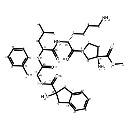 COC(=O)[C@@]1(N)CCN(C(=O)[C@@H](CCCCN)NC(=O)C(CC(C)C)NC(=O)[C@@H](Cc2ccccc2)NC(=O)C2(N)Cc3ccccc3C2)C1